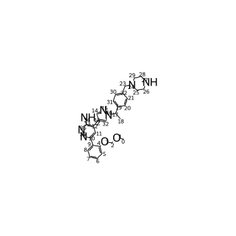 COCOc1ccccc1-c1cc(-c2cnn(C(C)c3ccc(CN4CCNCC4)cc3)c2)c(N)nn1